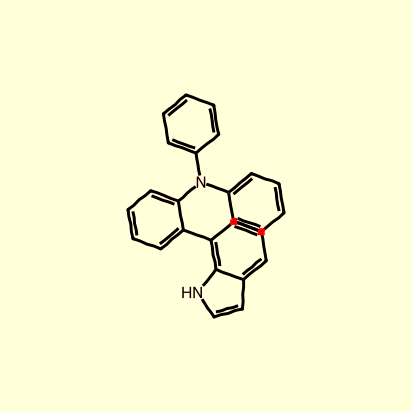 c1ccc(N(c2ccccc2)c2ccccc2-c2cccc3cc[nH]c23)cc1